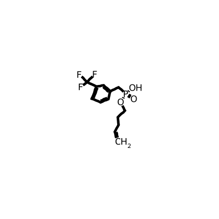 C=CCCCOP(=O)(O)Cc1cccc(C(F)(F)F)c1